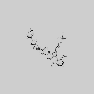 COc1cccc(OC)c1-c1cn(COCC[Si](C)(C)C)c2nc(NC(=O)NCC3(F)CN(C(=O)OC(C)(C)C)C3)ccc12